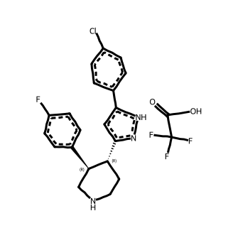 Fc1ccc([C@@H]2CNCC[C@H]2c2cc(-c3ccc(Cl)cc3)[nH]n2)cc1.O=C(O)C(F)(F)F